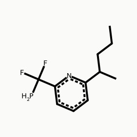 CCCC(C)c1cccc(C(F)(F)P)n1